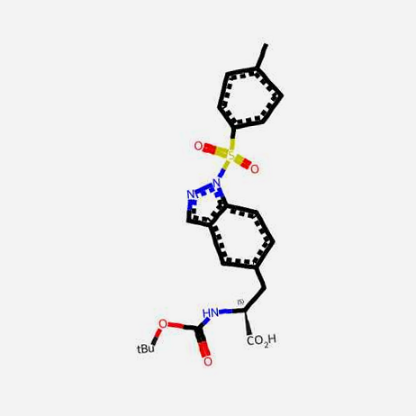 Cc1ccc(S(=O)(=O)n2ncc3cc(C[C@H](NC(=O)OC(C)(C)C)C(=O)O)ccc32)cc1